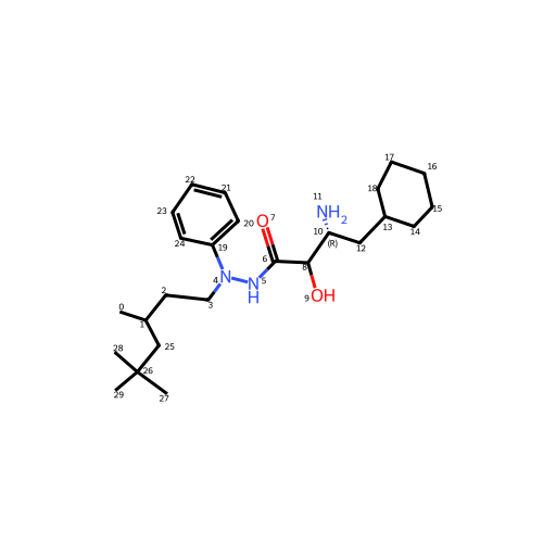 CC(CCN(NC(=O)C(O)[C@H](N)CC1CCCCC1)c1ccccc1)CC(C)(C)C